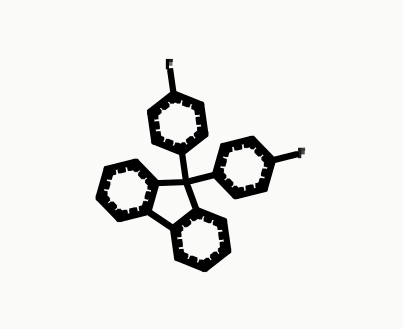 Fc1ccc(C2(c3ccc(F)cc3)c3ccccc3-c3ccccc32)cc1